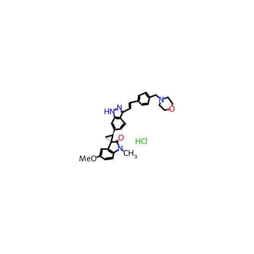 COc1ccc2c(c1)[C@]1(C[C@H]1c1ccc3c(/C=C/c4ccc(CN5CCOCC5)cc4)n[nH]c3c1)C(=O)N2C.Cl